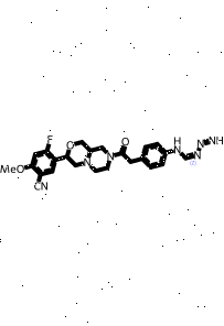 COc1cc(F)c(C2CN3CCN(C(=O)Cc4ccc(N/C=N\N=N)cc4)CC3CO2)cc1C#N